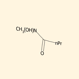 C[CH]CC(=O)N(C)O